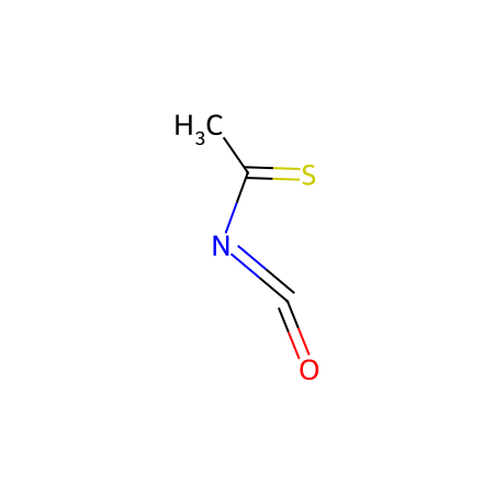 CC(=S)N=C=O